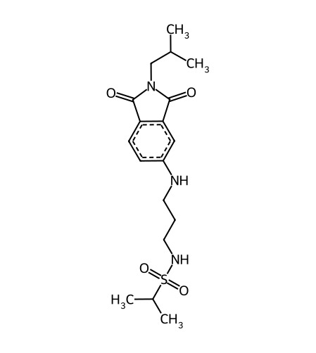 CC(C)CN1C(=O)c2ccc(NCCCNS(=O)(=O)C(C)C)cc2C1=O